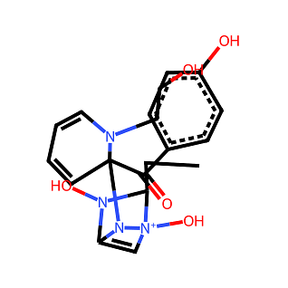 CCC1N(O)C2=C[N+]1(O)N2C1(C(=O)c2ccc(O)cc2)C=CC=CN1CCO